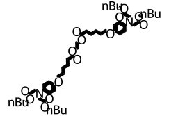 CCCCOC(=O)CN(CC(=O)OCCCC)c1ccc(OCCCCCC(=O)OCCOC(=O)CCCCCOc2ccc(N(CC(=O)OCCCC)CC(=O)OCCCC)cc2)cc1